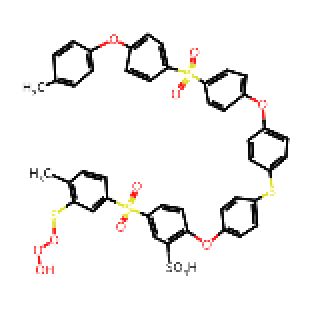 Cc1ccc(Oc2ccc(S(=O)(=O)c3ccc(Oc4ccc(Sc5ccc(Oc6ccc(S(=O)(=O)c7ccc(C)c(SOOO)c7)cc6S(=O)(=O)O)cc5)cc4)cc3)cc2)cc1